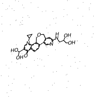 O=c1c(C(O)O)cn(C2CC2)c2c3c(ccc12)-c1cnc(NCC(O)CO)cc1COC3